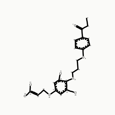 CCC(=O)c1ccc(OCCCOc2c(Cl)cc(OCC=C(Cl)Cl)cc2Cl)cc1